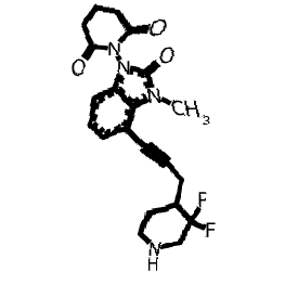 Cn1c(=O)n(N2C(=O)CCCC2=O)c2cccc(C#CCC3CCNCC3(F)F)c21